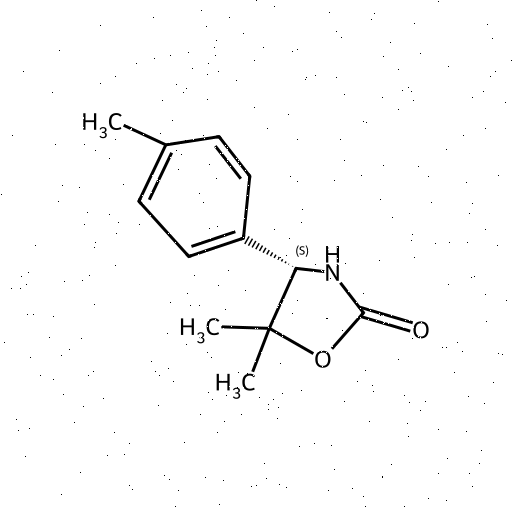 Cc1ccc([C@@H]2NC(=O)OC2(C)C)cc1